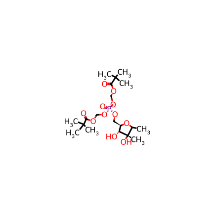 CC1O[C@H](COP(=O)(OCOC(=O)C(C)(C)C)OCOC(=O)C(C)(C)C)[C@@H](O)[C@@]1(C)O